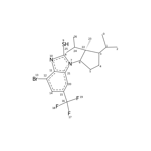 CC(C)C1CCC(n2c(S)nc3c(Br)cc(C(F)(F)F)cc32)[C@@]1(C)C(C)C